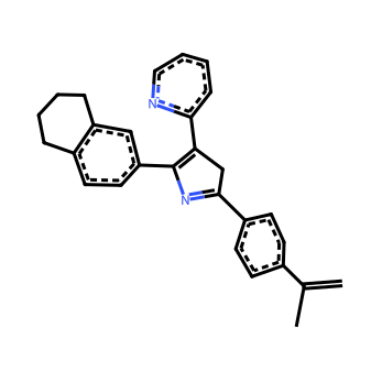 C=C(C)c1ccc(C2=NC(c3ccc4c(c3)CCCC4)=C(c3ccccn3)C2)cc1